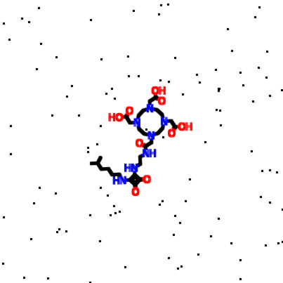 CC(C)CCCCNc1c(NCCNC(=O)CN2CCN(CC(=O)O)CCN(CC(=O)O)CCN(CC(=O)O)CC2)c(=O)c1=O